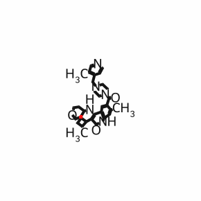 Cc1cnccc1CN1CCN(C(=O)c2cc3c(NC4CCOCC4)c(C4CCC4C)c(=O)[nH]c3cc2C)CC1